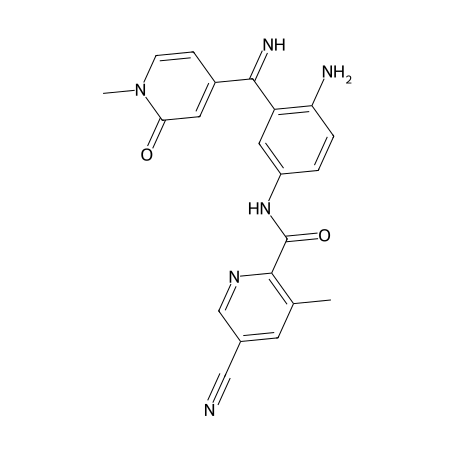 Cc1cc(C#N)cnc1C(=O)Nc1ccc(N)c(C(=N)c2ccn(C)c(=O)c2)c1